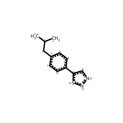 CC(C)Cc1ccc(-c2cnns2)cc1